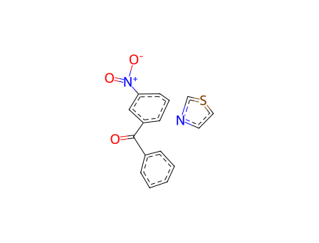 O=C(c1ccccc1)c1cccc([N+](=O)[O-])c1.c1cscn1